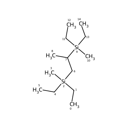 CC[Si](C)(CC)CC(C)[Si](C)(CC)CC